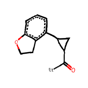 CCC(=O)C1CC1c1cccc2c1CCO2